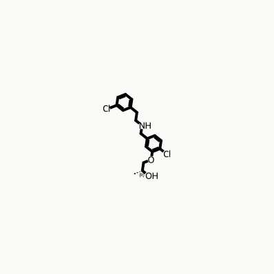 C[C@@H](O)COc1cc(CNCCc2cccc(Cl)c2)ccc1Cl